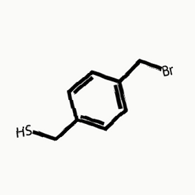 SCc1ccc(CBr)cc1